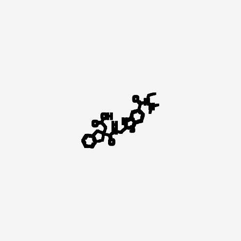 CCN(C(=O)c1ccc2sc(CNC(=O)C3(CC(=O)O)Cc4ccccc4C3)nc2c1)N(C)C